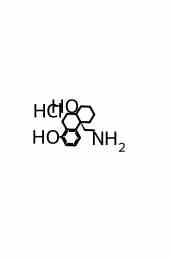 Cl.NCC[C@]12CCCC[C@@]1(O)CCc1c(O)cccc12